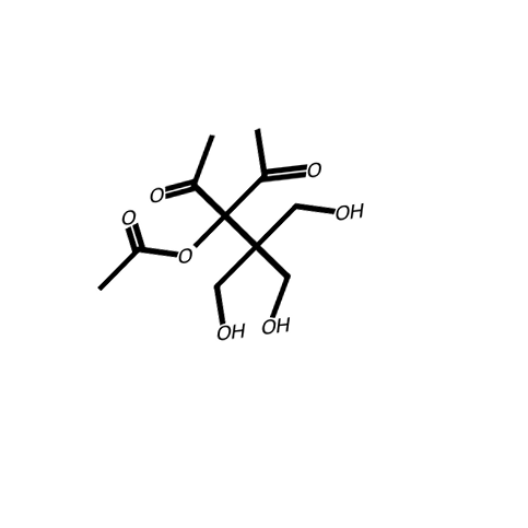 CC(=O)OC(C(C)=O)(C(C)=O)C(CO)(CO)CO